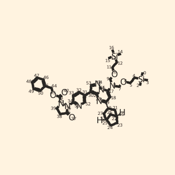 C[Si](C)(C)CCOCN(COCC[Si](C)(C)C)c1cc([C@H]2C[C@@H]3CC[C@@H](C3)C2)nc2c(-c3ccc(N4C(=O)CCN4C(=O)OCc4ccccc4)nc3)cnn12